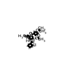 CC(C)Oc1cc(OC(C)C)cc(C(=O)N2CCC(NC(=O)c3ccccc3Cl)c3nn(C)cc32)c1